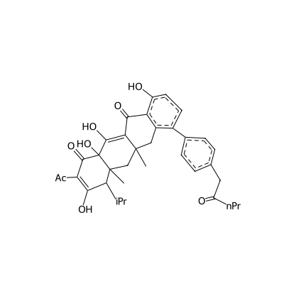 CCCC(=O)Cc1ccc(-c2ccc(O)c3c2CC2(C)CC4(C)C(C(C)C)C(O)=C(C(C)=O)C(=O)C4(O)C(O)=C2C3=O)cc1